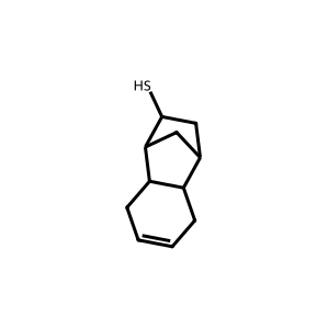 SC1CC2CC1C1CC=CCC21